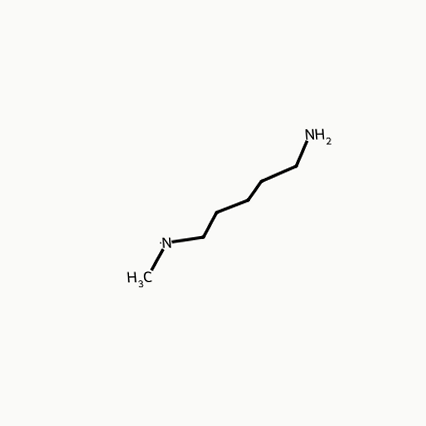 C[N]CCCCCN